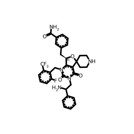 NC(=O)c1cccc(C[C@H]2OC3(CCNCC3)c3c2n(Cc2c(F)cccc2C(F)(F)F)c(=O)n(CC(N)c2ccccc2)c3=O)c1